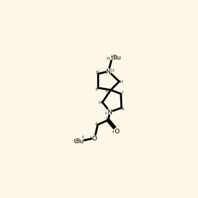 CC(C)(C)OCC(=O)N1CCC2(CCN(C(C)(C)C)C2)C1